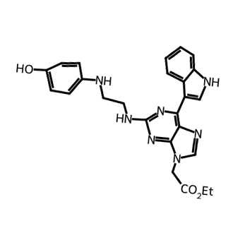 CCOC(=O)Cn1cnc2c(-c3c[nH]c4ccccc34)nc(NCCNc3ccc(O)cc3)nc21